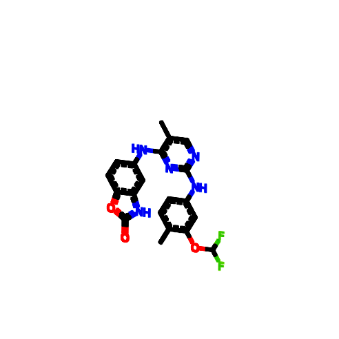 Cc1ccc(Nc2ncc(C)c(Nc3ccc4oc(=O)[nH]c4c3)n2)cc1OC(F)F